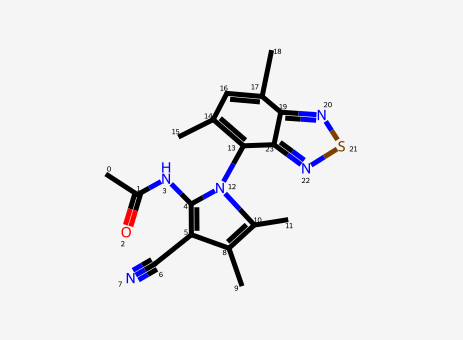 CC(=O)Nc1c(C#N)c(C)c(C)n1-c1c(C)cc(C)c2nsnc12